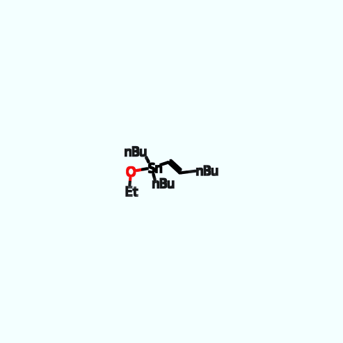 CCCCC=[CH][Sn]([CH2]CCC)([CH2]CCC)[O]CC